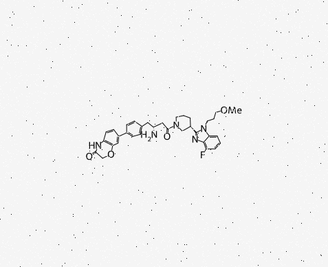 COCCCn1c([C@@H]2CCCN(C(=O)C[C@H](N)Cc3ccc(-c4ccc5c(c4)OCC(=O)N5)cc3)C2)nc2c(F)cccc21